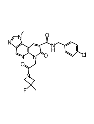 Cn1cnc2cnc3c(cc(C(=O)NCc4ccc(Cl)cc4)c(=O)n3CC(=O)N3CC(C)(F)C3)c21